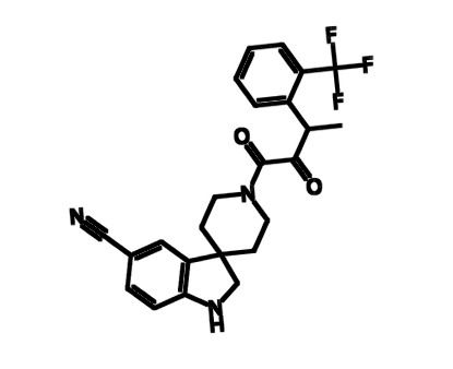 CC(C(=O)C(=O)N1CCC2(CC1)CNc1ccc(C#N)cc12)c1ccccc1C(F)(F)F